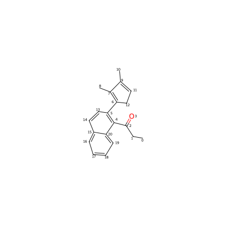 CCC(=O)c1c(C2=C(C)C(C)=CC2)ccc2ccccc12